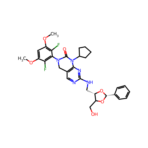 COc1cc(OC)c(F)c(N2Cc3cnc(NC[C@@H]4O[C@H](c5ccccc5)OC4CO)nc3N(C3CCCC3)C2=O)c1F